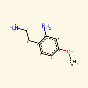 COc1ccc(CCN)c(N)c1